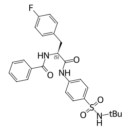 CC(C)(C)NS(=O)(=O)c1ccc(NC(=O)[C@H](Cc2ccc(F)cc2)NC(=O)c2ccccc2)cc1